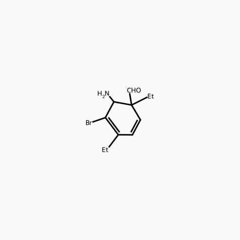 CCC1=C(Br)C(N)C(C=O)(CC)C=C1